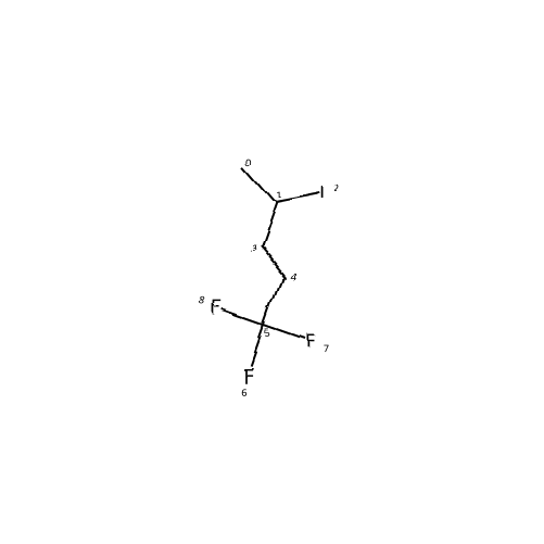 CC(I)CCC(F)(F)F